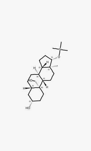 C[C@]12CC[C@H]3[C@@H](CC[C@H]4C[C@@H](O)CC[C@@]43CO)[C@@H]1CC[C@@H]2O[Si](C)(C)C